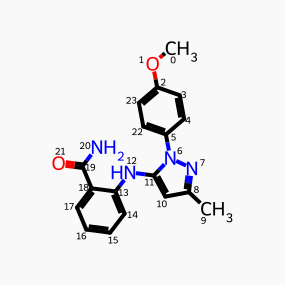 COc1ccc(-n2nc(C)cc2Nc2ccccc2C(N)=O)cc1